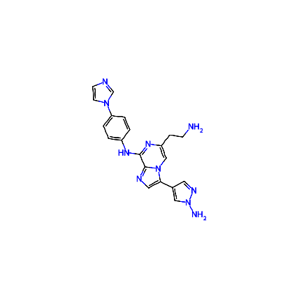 NCCc1cn2c(-c3cnn(N)c3)cnc2c(Nc2ccc(-n3ccnc3)cc2)n1